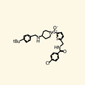 CC(C)(C)c1ccc(CNC2CCN([S+]([O-])c3ccc(CNC(=O)c4ccc(Cl)cc4)s3)CC2)cc1